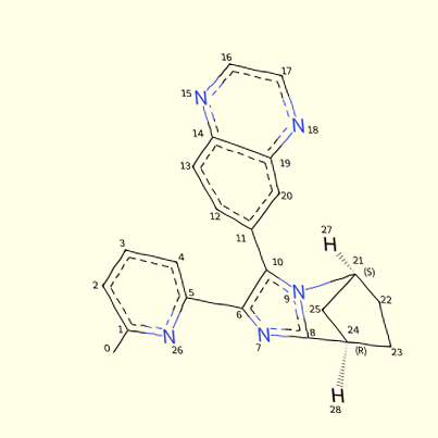 Cc1cccc(-c2nc3n(c2-c2ccc4nccnc4c2)[C@H]2CC[C@@H]3C2)n1